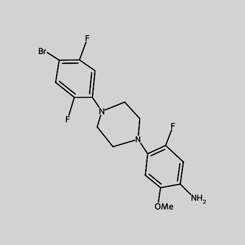 COc1cc(N2CCN(c3cc(F)c(Br)cc3F)CC2)c(F)cc1N